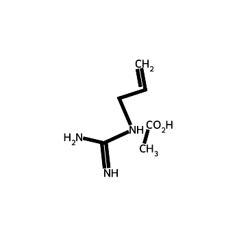 C=CCNC(=N)N.CC(=O)O